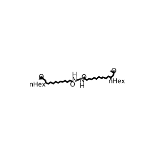 CCCCCCC(CCCCCCCCCCC(=O)NCCNC(=O)CCCCCCCCCCC(CCCCCC)CC1CO1)CC1CO1